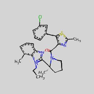 CCn1c([C@]2(C)CCCN2C(=O)c2nc(C)sc2-c2cccc(Cl)c2)nc2cccc(C)c21